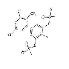 Cc1c(OS(C)(=O)=O)cccc1OS(C)(=O)=O.FC(F)(F)c1ccc(Cl)cc1Cl